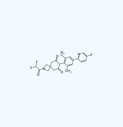 Cc1cc(-c2ccc(F)cn2)cc(C)c1C1C(=O)CC2(CC1=O)CN(C(=O)C(F)F)C2